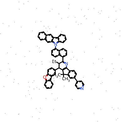 CCC1C(c2cccc3c(-n4c5ccccc5c5cc6ccccc6cc54)cccc23)=NC2=C(C1c1ccc3oc4ccccc4c3c1)C(C)(C)c1cc(-c3ccncc3)ccc12